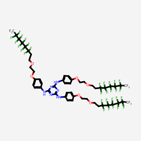 FC(F)(F)C(F)(F)C(F)(F)C(F)(F)C(F)(F)C(F)(F)CCOCCOc1ccc(Nc2nc(Nc3ccc(OCCOCCC(F)(F)C(F)(F)C(F)(F)C(F)(F)C(F)(F)C(F)(F)F)cc3)nc(Nc3ccc(OCCOCCC(F)(F)C(F)(F)C(F)(F)C(F)(F)C(F)(F)C(F)(F)F)cc3)n2)cc1